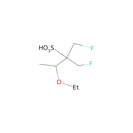 CCOC(C)C(CF)(CF)S(=O)(=O)O